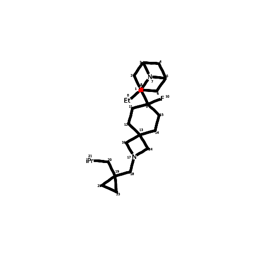 CCN1CC2CC(C1)N2CC1(F)CCC2(CC1)CN(CC1(CC(C)C)CC1)C2